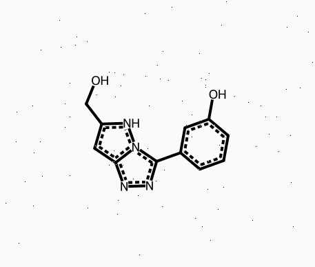 OCc1cc2nnc(-c3cccc(O)c3)n2[nH]1